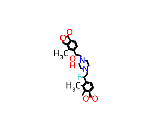 Cc1c(C(O)CN2CCN(CC(F)c3ccc4c(c3C)COC4=O)CC2)ccc2c1COC2=O